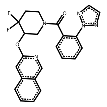 O=C(c1ccccc1-n1nccn1)N1CCC(F)(F)C(Oc2cc3ccccc3cn2)C1